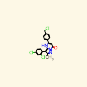 Cc1nn2c(=O)cc(-c3ccc(CCl)cc3)[nH]c2c1-c1ccc(Cl)cc1Cl